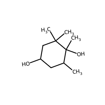 CC1CC(O)CC(C)(C)C1(C)O